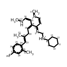 C=N\C=C/C(=N\CNC1CCCCC1)C(/C=C\NC)=C\C/C(C)=C/c1ccc(F)cc1C